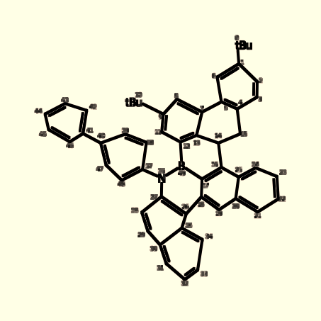 CC(C)(C)c1ccc2c(c1)-c1cc(C(C)(C)C)cc3c1C(C2)c1c2c(cc4ccccc14)-c1c(ccc4ccccc14)N(c1ccc(-c4ccccc4)cc1)B32